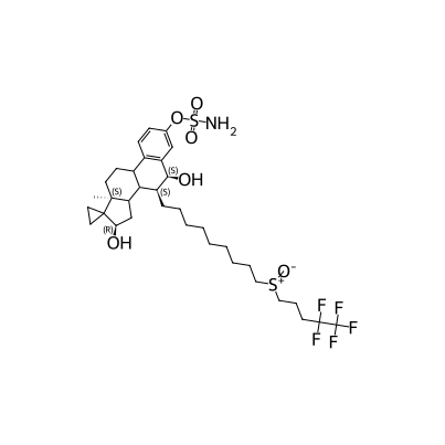 C[C@]12CCC3c4ccc(OS(N)(=O)=O)cc4[C@@H](O)[C@@H](CCCCCCCCC[S+]([O-])CCCC(F)(F)C(F)(F)F)C3C1C[C@@H](O)C21CC1